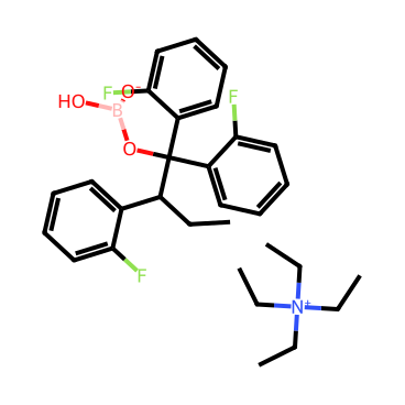 CCC(c1ccccc1F)C(OB([O-])O)(c1ccccc1F)c1ccccc1F.CC[N+](CC)(CC)CC